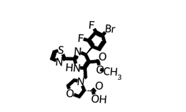 COC(=O)C1=C(CN2CCOC[C@H]2C(=O)O)NC(c2nccs2)=N[C@H]1c1ccc(Br)c(F)c1F